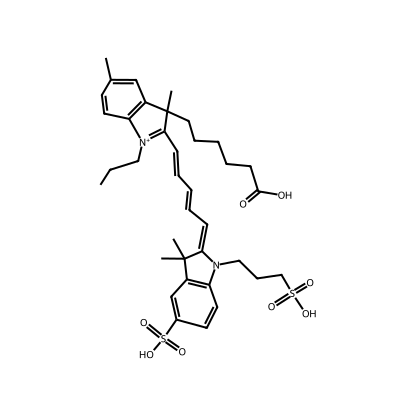 CCC[N+]1=C(/C=C/C=C/C=C2/N(CCCS(=O)(=O)O)c3ccc(S(=O)(=O)O)cc3C2(C)C)C(C)(CCCCCC(=O)O)c2cc(C)ccc21